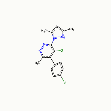 Cc1cc(C)n(-c2nnc(C)c(-c3ccc(Cl)cc3)c2Cl)n1